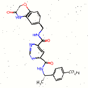 C[C@H](NC(=O)c1cc(C(=O)NCc2ccc3c(c2)NC(=O)CO3)ncn1)c1ccc(C(=O)O)cc1